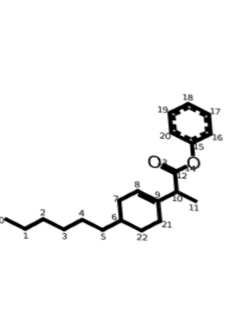 CCCCCCC1CC=C(C(C)C(=O)Oc2ccccc2)CC1